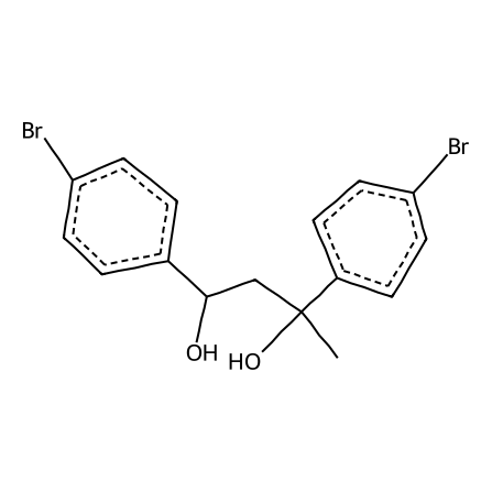 CC(O)(CC(O)c1ccc(Br)cc1)c1ccc(Br)cc1